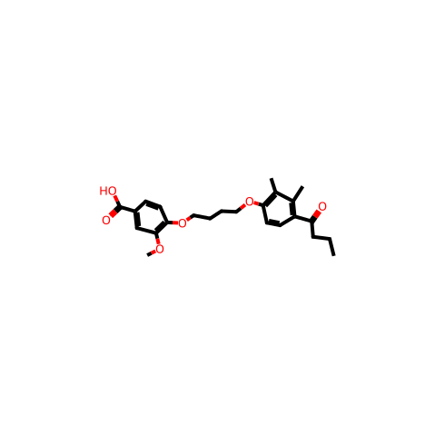 CCCC(=O)c1ccc(OCCCCOc2ccc(C(=O)O)cc2OC)c(C)c1C